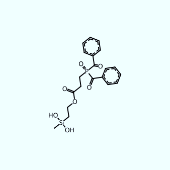 C[Si](O)(O)CCOC(=O)CCP(=O)(C(=O)c1ccccc1)C(=O)c1ccccc1